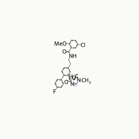 COc1ccc(Cl)cc1C(=O)NCCc1ccc(-c2ccc(F)cc2)c(S(=O)(=O)/N=C\N(C)C)c1